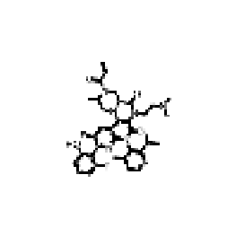 C=CC(=O)N1CC2C(=O)N(CCN(C)C)c3c(c4cc(F)c(-c5c(O)cccc5F)nc4n(-c4c(C)ccnc4C(C)C)c3=O)N2CC1C